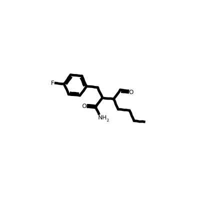 CCCCC(C=O)C(Cc1ccc(F)cc1)C(N)=O